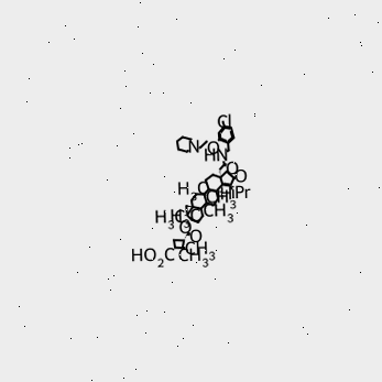 CC(C)C1=C2[C@H]3CC[C@]4(C)[C@@]5(C)CC[C@H](OC(=O)[C@H]6C[C@@H](C(=O)O)C6(C)C)[C@@]6(C)C[C@@]56CC[C@@]4(C)[C@]3(C)CC[C@@]2(CC(=O)NCc2ccc(Cl)cc2OCCN2CCCCC2)CC1=O